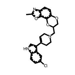 Cc1nc2ccc3c(c2o1)OC(CN1CC=C(c2c[nH]c4ccc(Cl)cc24)CC1)CO3